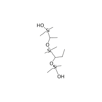 CCC(O[Si](C)(C)O)[Si](C)(C)OC(C)[Si](C)(C)O